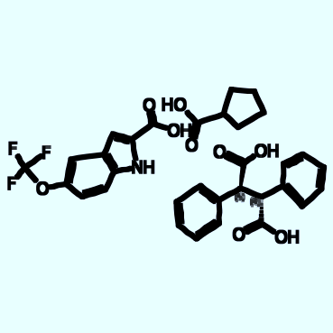 O=C(O)C1CCCC1.O=C(O)[C@H](c1ccccc1)[C@@H](C(=O)O)c1ccccc1.O=C(O)c1cc2cc(OC(F)(F)F)ccc2[nH]1